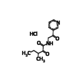 CCC(C)C(=O)C(=O)NCC(=O)c1cccnc1.Cl